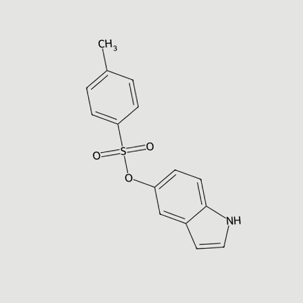 Cc1ccc(S(=O)(=O)Oc2ccc3[nH]ccc3c2)cc1